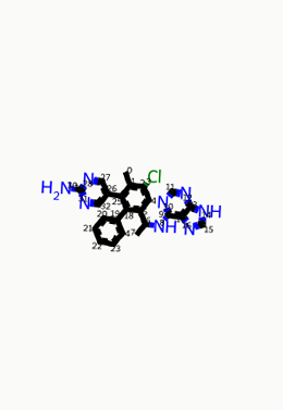 Cc1c(Cl)cc(C(C)Nc2ncnc3[nH]cnc23)c(-c2ccccc2)c1-c1cnc(N)nc1